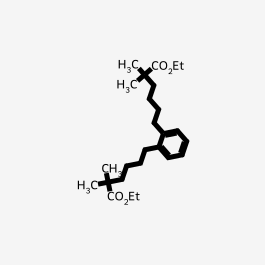 CCOC(=O)C(C)(C)CCCCc1ccccc1CCCCC(C)(C)C(=O)OCC